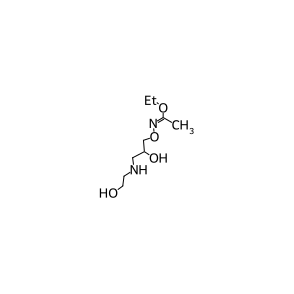 CCOC(C)=NOCC(O)CNCCO